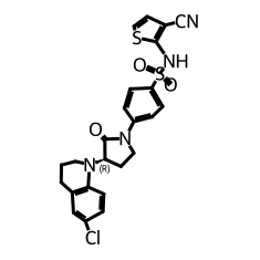 N#Cc1ccsc1NS(=O)(=O)c1ccc(N2CC[C@@H](N3CCCc4cc(Cl)ccc43)C2=O)cc1